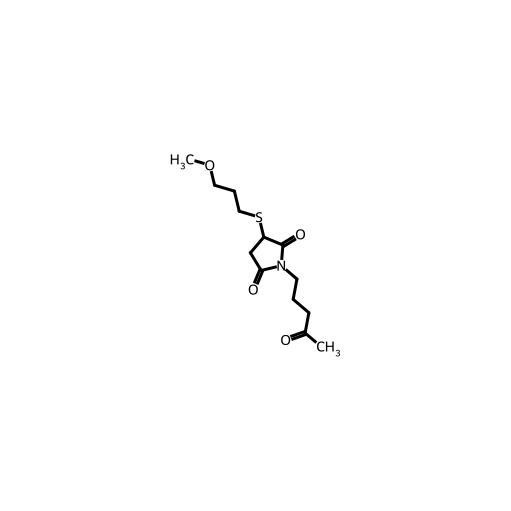 COCCCSC1CC(=O)N(CCCC(C)=O)C1=O